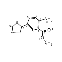 COC(=O)c1cc(C2CCCC2)ccc1N